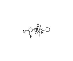 CC1(C(=O)Nc2ccc(C#N)c(CF)c2)CC(C2CCCCC2)=NN1